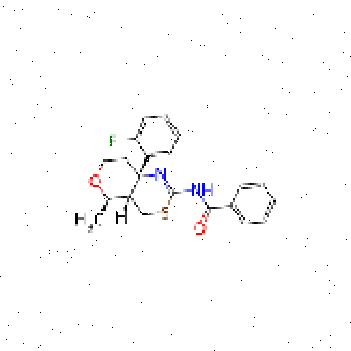 C[C@H]1OCC[C@]2(c3ccccc3F)N=C(NC(=O)c3ccccc3)SC[C@H]12